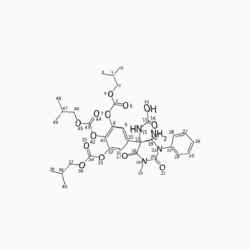 CC(C)COC(=O)Oc1cc(C2(NC(=O)O)C(=O)N(C)C(=O)N(c3ccccc3)C2N)cc(OC(=O)OCC(C)C)c1OC(=O)OCC(C)C